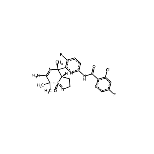 CC1(C)C(N)=N[C@](C)(c2nc(NC(=O)c3ncc(F)cc3Cl)ccc2F)[C@@H]2CCN=[S@@]21=O